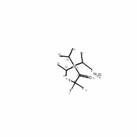 CC(C)[Si](C(=O)C(F)(F)F)(C(C)C)C(C)C.O